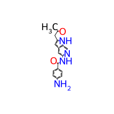 CC(=O)Cc1cc2cc(NC(=O)c3ccc(N)cc3)ncc2[nH]1